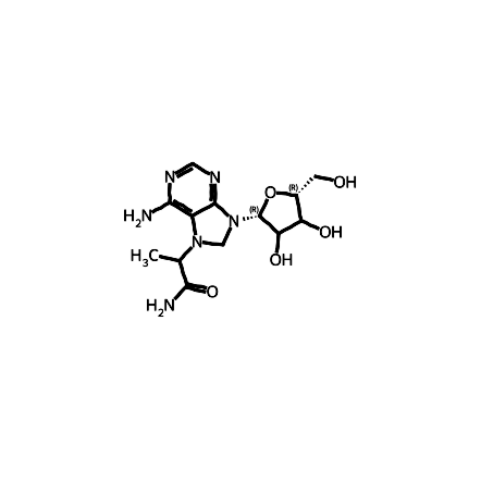 CC(C(N)=O)N1CN([C@@H]2O[C@H](CO)C(O)C2O)c2ncnc(N)c21